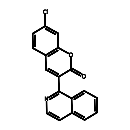 O=c1oc2cc(Cl)ccc2cc1-c1nccc2ccccc12